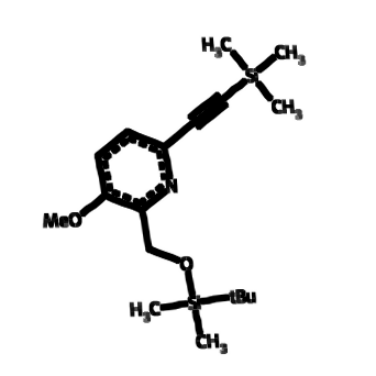 COc1ccc(C#C[Si](C)(C)C)nc1CO[Si](C)(C)C(C)(C)C